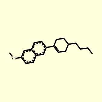 CCCCC1CC=C(c2ccc3cc(OC)ccc3c2)CC1